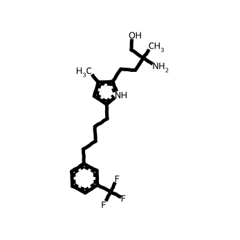 Cc1cc(CCCCc2cccc(C(F)(F)F)c2)[nH]c1CCC(C)(N)CO